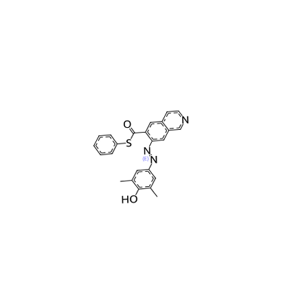 Cc1cc(/N=N/c2cc3cnccc3cc2C(=O)Sc2ccccc2)cc(C)c1O